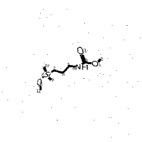 COC(=O)NCCC[Si](C)(C)OC